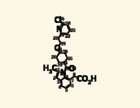 Cc1cc2cccc(CC(=O)O)c2n1C(=O)C1CCC(OCCc2cccc(Cl)n2)CC1